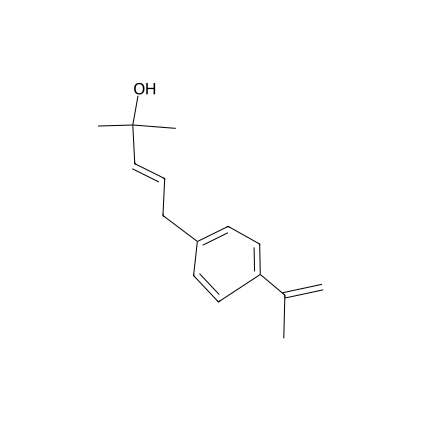 C=C(C)c1ccc(CC=CC(C)(C)O)cc1